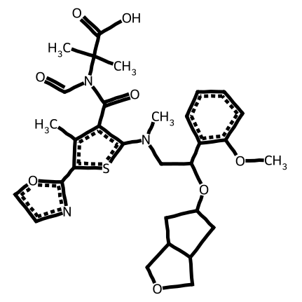 COc1ccccc1C(CN(C)c1sc(-c2ncco2)c(C)c1C(=O)N(C=O)C(C)(C)C(=O)O)OC1CC2COCC2C1